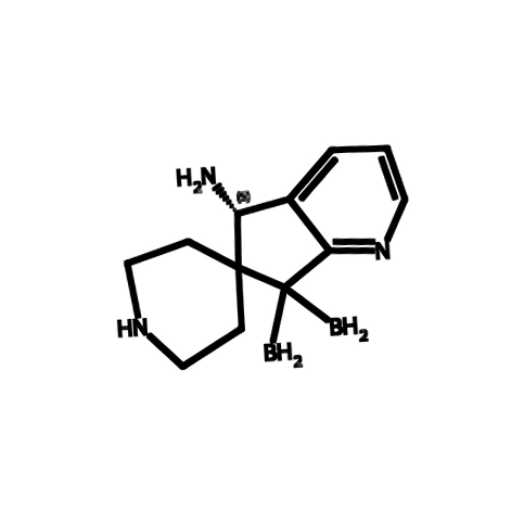 BC1(B)c2ncccc2[C@@H](N)C12CCNCC2